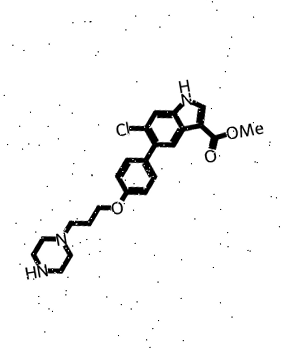 COC(=O)c1c[nH]c2cc(Cl)c(-c3ccc(OCCCN4CCNCC4)cc3)cc12